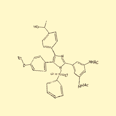 CCOc1ccc(-c2c(-c3ccc(C(C)O)cc3)nc(-c3cc(NC(C)=O)cc(NC(C)=O)c3)n2S(=O)(=O)c2ccccc2)cc1